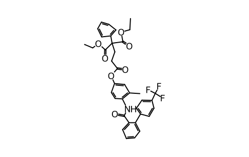 CCOC(=O)C(CCC(=O)Oc1ccc(NC(=O)c2ccccc2-c2ccc(C(F)(F)F)cc2)c(C)c1)(C(=O)OCC)c1ccccc1